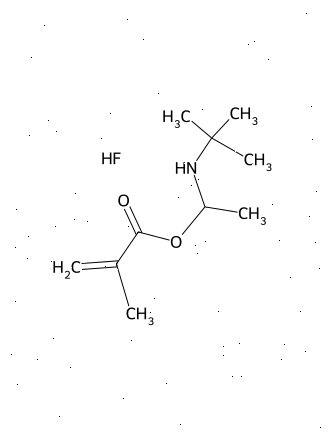 C=C(C)C(=O)OC(C)NC(C)(C)C.F